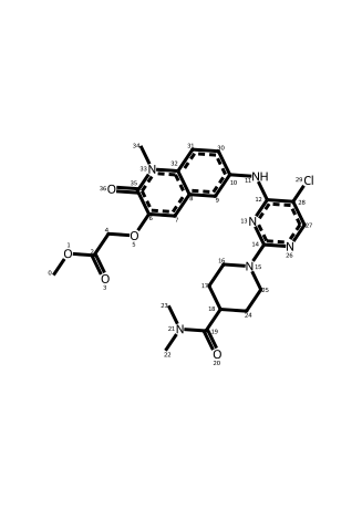 COC(=O)COc1cc2cc(Nc3nc(N4CCC(C(=O)N(C)C)CC4)ncc3Cl)ccc2n(C)c1=O